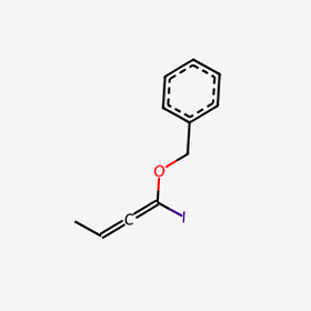 CC=C=C(I)OCc1ccccc1